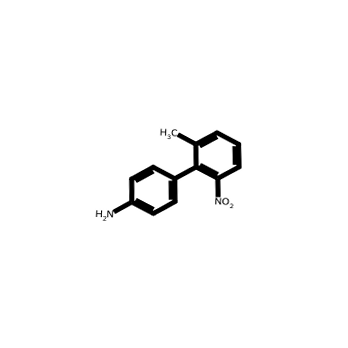 Cc1cccc([N+](=O)[O-])c1-c1ccc(N)cc1